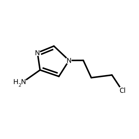 Nc1cn(CCCCl)cn1